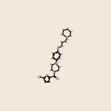 O=C(c1ccc(Cl)s1)N1CCN(c2ccc(OCCCN3CCCCC3)cc2)CC1